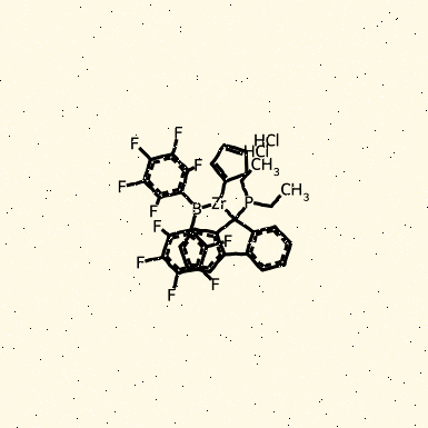 CCP(CC)[C]1([Zr]([B](c2c(F)c(F)c(F)c(F)c2F)c2c(F)c(F)c(F)c(F)c2F)[C]2=CC=CC2)c2ccccc2-c2ccccc21.Cl.Cl